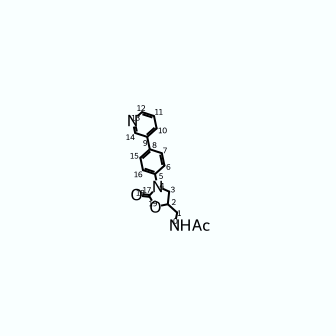 CC(=O)NCC1CN(c2ccc(-c3cccnc3)cc2)C(=O)O1